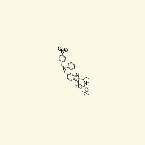 CC(C)(C)OC(=O)N1CCCC1c1nc2cc(CN(Cc3ccc([N+](=O)[O-])cc3)c3ccccc3)ccc2[nH]1